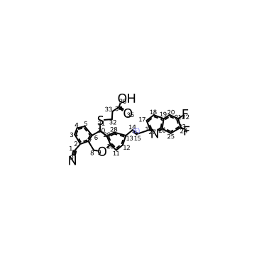 N#Cc1cccc2c1COc1ccc(/C=C/c3ccc4cc(F)c(F)cc4n3)cc1C2SCCC(=O)O